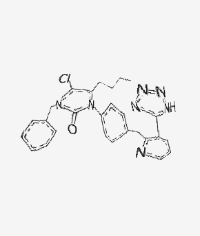 CCCCc1c(Cl)n(Cc2ccccc2)c(=O)n1-c1ccc(-c2ncccc2-c2nnn[nH]2)cc1